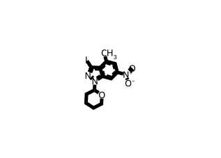 Cc1cc([N+](=O)[O-])cc2c1c(I)nn2C1CCCCO1